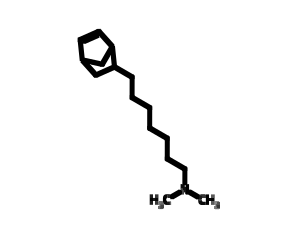 CN(C)CCCCCCCC1CC2C=CC1C2